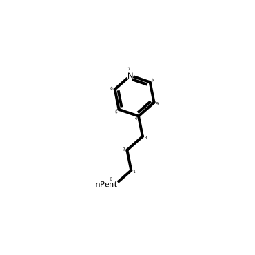 CCCCCCCCc1[c]cncc1